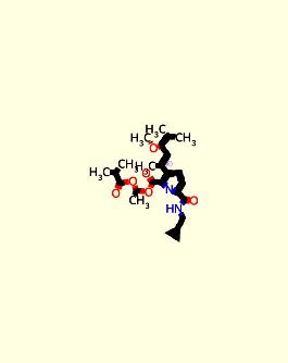 COC(/C=C(\C)c1ccc(C(=O)NCC2CC2)nc1C(=O)OC(C)OC(=O)C(C)C)=C(C)C